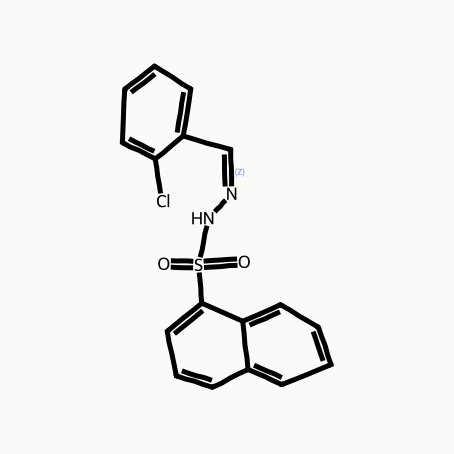 O=S(=O)(N/N=C\c1ccccc1Cl)c1cccc2ccccc12